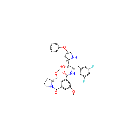 COC[C@H]1CCCN1C(=O)c1cc(OC)cc(C(=O)N[C@@H](Cc2cc(F)cc(F)c2)[C@H](O)[C@H]2C[C@@H](Oc3ccccc3)CN2)c1